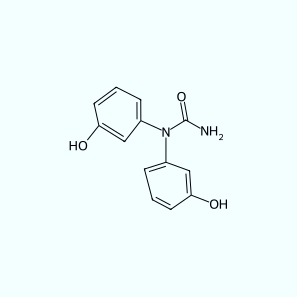 NC(=O)N(c1cccc(O)c1)c1cccc(O)c1